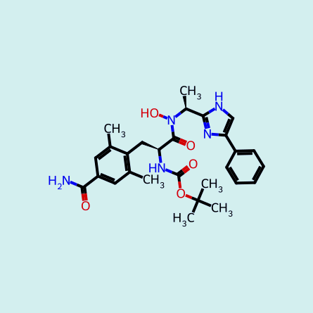 Cc1cc(C(N)=O)cc(C)c1C[C@H](NC(=O)OC(C)(C)C)C(=O)N(O)[C@@H](C)c1nc(-c2ccccc2)c[nH]1